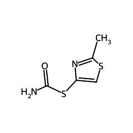 Cc1nc(SC(N)=O)cs1